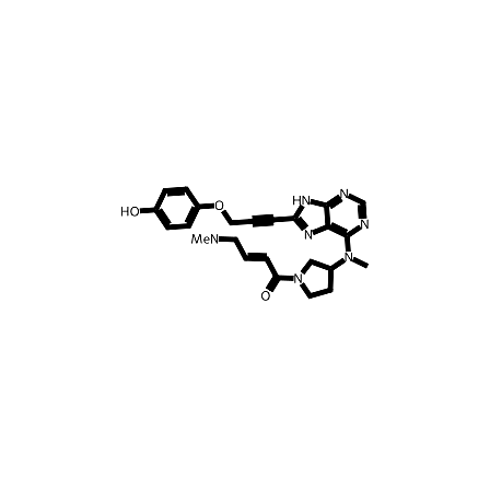 CNC/C=C/C(=O)N1CCC(N(C)c2ncnc3[nH]c(C#CCOc4ccc(O)cc4)nc23)C1